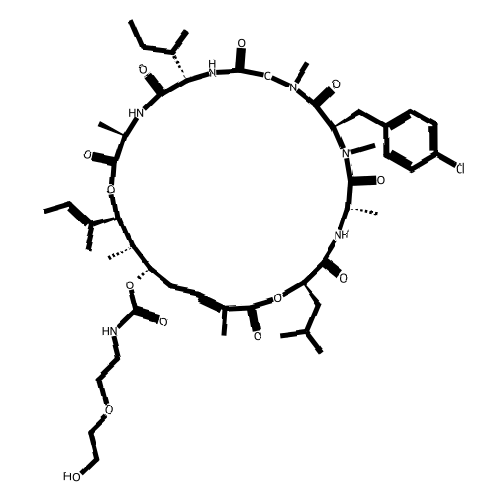 C/C=C(\C)[C@H]1OC(=O)[C@@H](C)NC(=O)[C@H](C(C)CC)NC(=O)CN(C)C(=O)[C@@H](Cc2ccc(Cl)cc2)N(C)C(=O)[C@H](C)NC(=O)[C@@H](CC(C)C)OC(=O)/C(C)=C/C[C@H](OC(=O)NCCOCCO)[C@@H]1C